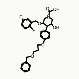 O=C(O)N1CC(O)C(c2ccc(OCCCOCc3ccccc3)cc2)C(OCc2cc(F)ccc2F)C1